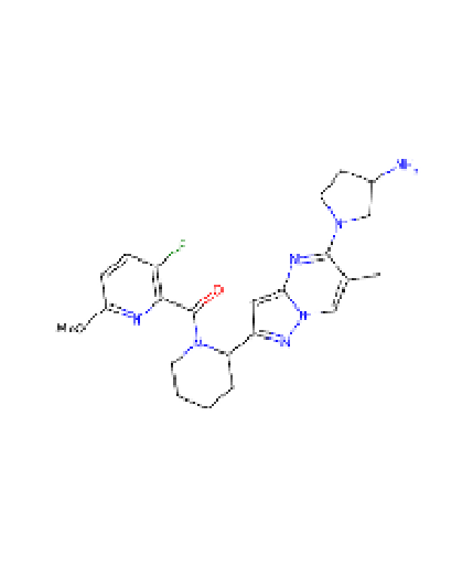 COc1ccc(F)c(C(=O)N2CCCCC2c2cc3nc(N4CCC(N)C4)c(C)cn3n2)n1